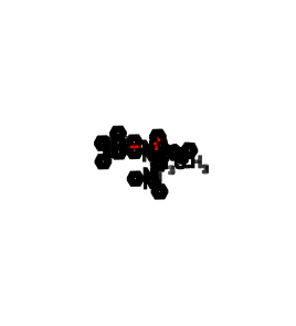 CC1(C)c2ccccc2-c2cc3c4ccccc4n(-c4ccc(-c5nc(-c6ccccc6)nc(-c6ccccc6)n5)cc4-c4nc(-c5ccccc5)nc(-c5ccc(-c6ccc7c8c6N(c6ccccc6)c6ccccc6B8c6ccccc6N7c6ccccc6)cc5)n4)c3cc21